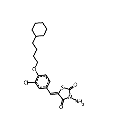 NN1C(=O)S/C(=C\c2ccc(OCCCCC3CCCCC3)c(Cl)c2)C1=O